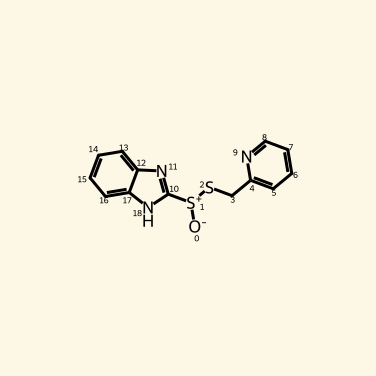 [O-][S+](SCc1ccccn1)c1nc2ccccc2[nH]1